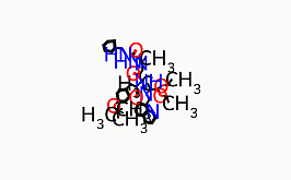 CCOC(OCC)C(C)N(Cc1cccc2cccnc12)C(=O)C(Cc1ccc(OC(C)(C)C)cc1)NC(=O)CN(C)NC(=O)NCc1ccccc1